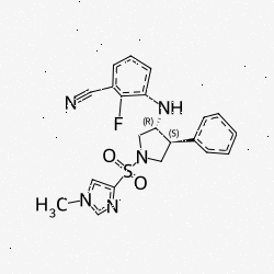 Cn1cnc(S(=O)(=O)N2C[C@H](Nc3cccc(C#N)c3F)[C@@H](c3ccccc3)C2)c1